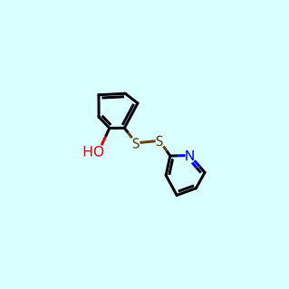 Oc1ccccc1SSc1ccccn1